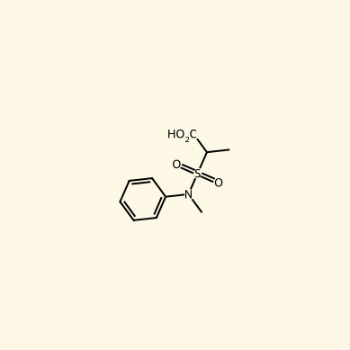 CC(C(=O)O)S(=O)(=O)N(C)c1ccccc1